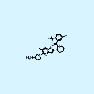 Cc1cn2nc([C@@H]3CCCCN3C(=O)c3cc(Cl)ccc3C(F)(F)F)cc2nc1N1CCC(N)C1